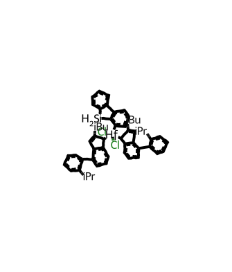 CCC(C)C1=Cc2c(-c3ccccc3C(C)C)cccc2[CH]1[Hf]([Cl])([Cl])([c]1cccc2c1[SiH2]c1ccccc1-2)[CH]1C(C(C)CC)=Cc2c(-c3ccccc3C(C)C)cccc21